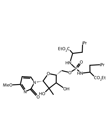 CCOC(=O)C(CC(C)C)NP(=O)(NC(CC(C)C)C(=O)OCC)OC[C@H]1O[C@@H](n2ccc(OC)nc2=O)C(C)(O)C1O